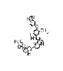 C=CC(=O)N1CC[C@@H]2CC(c3ccc4ncnc(Nc5cc(C)c(Oc6ccn7ncnc7c6)cc5F)c4n3)C[C@@H]21